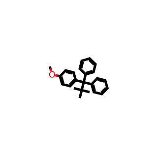 COc1ccc(C(c2ccccc2)(c2ccccc2)C(C)(C)C)cc1